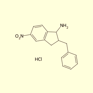 Cl.NC1c2ccc([N+](=O)[O-])cc2CC1Cc1ccccc1